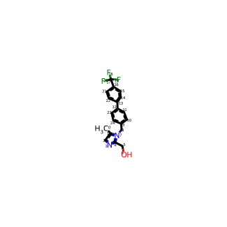 Cc1cnc(CO)n1Cc1ccc(-c2ccc(C(F)(F)F)cc2)cc1